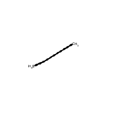 BC#CC#CC#CC#CC#CC#CC#CC#CC#CC#CC#CC